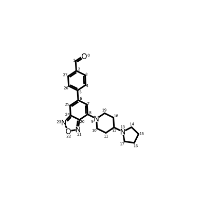 O=Cc1ccc(-c2cc(N3CCC(N4CCCC4)CC3)c3nonc3c2)cc1